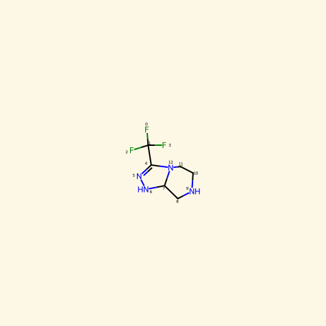 FC(F)(F)C1=NNC2CNCCN12